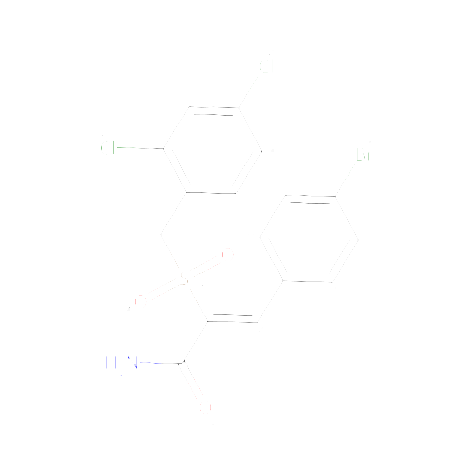 NC(=O)C(=Cc1ccc(Br)cc1)S(=O)(=O)Cc1ccc(Cl)cc1Cl